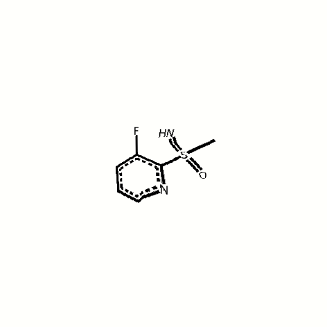 CS(=N)(=O)c1ncccc1F